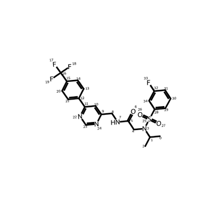 CC(C)N(CC(=O)NCc1cc(-c2ccc(C(F)(F)F)cc2)ncn1)S(=O)(=O)c1cccc(F)c1